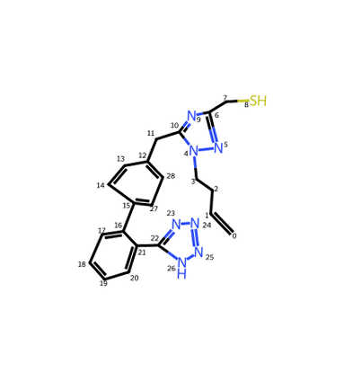 C=CCCn1nc(CS)nc1Cc1ccc(-c2ccccc2-c2nnn[nH]2)cc1